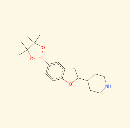 CC1(C)OB(c2ccc3c(c2)CC(C2CCNCC2)O3)OC1(C)C